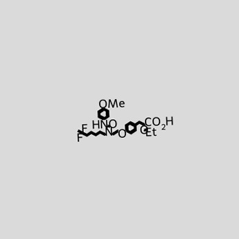 CCOC(Cc1ccc(OCCN(CCCCCC(C)(F)F)C(=O)Nc2ccc(OC)cc2)cc1)C(=O)O